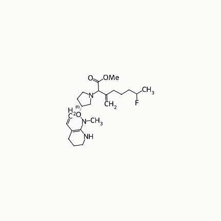 C=CC1=C(N(C)O[C@@H]2CCN(C(C(=C)CCCC(C)F)C(=O)OC)C2)NCCC1